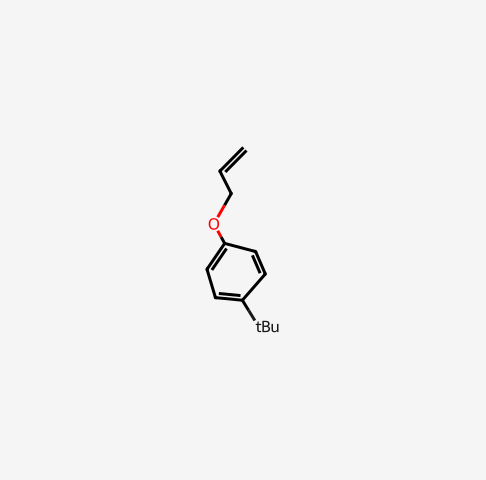 C=CCOc1ccc(C(C)(C)C)cc1